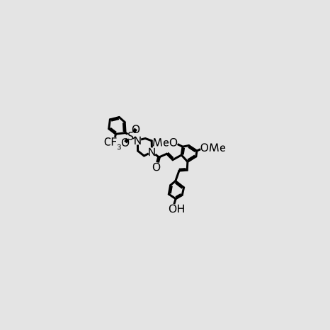 COc1cc(C=Cc2ccc(O)cc2)c(C=CC(=O)N2CCN(S(=O)(=O)c3ccccc3C(F)(F)F)CC2)c(OC)c1